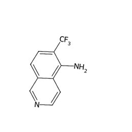 Nc1c(C(F)(F)F)ccc2cnccc12